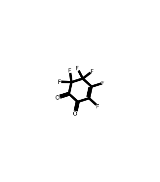 O=C1C(=O)C(F)(F)C(F)(F)C(F)=C1F